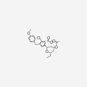 CC[C@H]1O[C@@H](c2cc(Cc3ccc(OC)cc3)c(Cl)s2)[C@H](OC(C)=O)[C@@H](OC(C)=O)[C@@H]1C